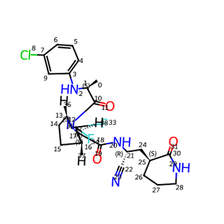 C[C@H](Nc1cccc(Cl)c1)C(=O)N1[C@H]2CC[C@@H]([C@@H]1C(=O)N[C@@H](C#N)C[C@@H]1CCCNC1=O)C(F)(F)C2